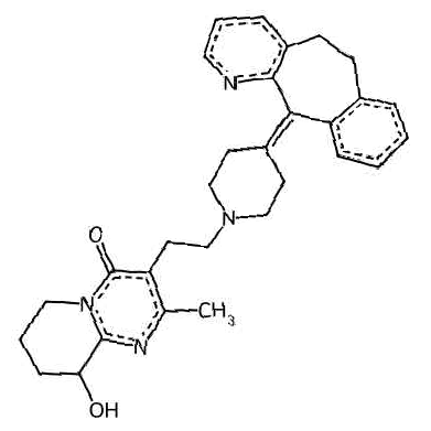 Cc1nc2n(c(=O)c1CCN1CCC(=C3c4ccccc4CCc4cccnc43)CC1)CCCC2O